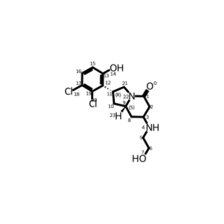 O=C1CC(NCCO)C[C@@H]2C[C@H](c3c(O)ccc(Cl)c3Cl)CN12